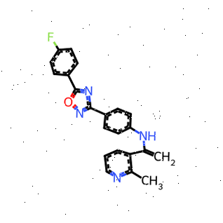 C=C(Nc1ccc(-c2noc(-c3ccc(F)cc3)n2)cc1)c1cccnc1C